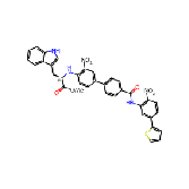 COC(=O)[C@@H](Cc1c[nH]c2ccccc12)Nc1ccc(-c2ccc(C(=O)Nc3cc(-c4cccs4)ccc3[N+](=O)[O-])cc2)cc1[N+](=O)[O-]